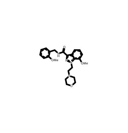 COc1ccccc1CNC(=O)c1nn(CCN2CCOCC2)c2c(OC)cccc12